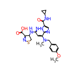 COc1ccc(CN(C)c2cc(NC3CSN=C3C(=O)O)nn3c(C(=O)NC4CC4)cnc23)cc1